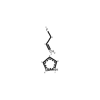 C=CCF.c1cn[nH]c1